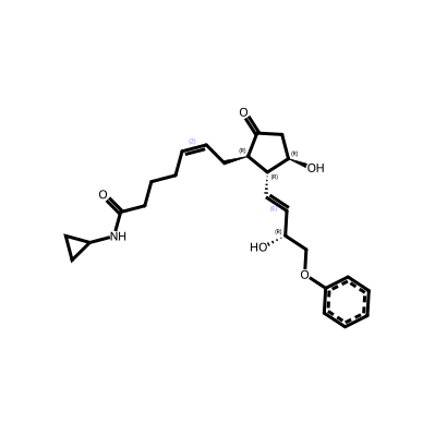 O=C(CCC/C=C\C[C@H]1C(=O)C[C@@H](O)[C@@H]1/C=C/[C@@H](O)COc1ccccc1)NC1CC1